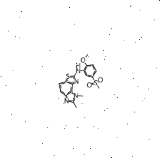 COc1ccc(S(C)(=O)=O)cc1Nc1nc2c(ccc3nc(C)n(C)c32)s1